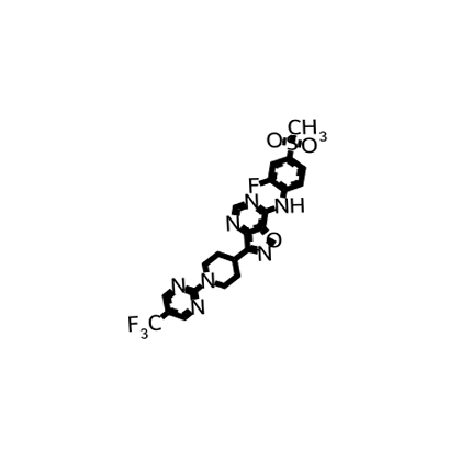 CS(=O)(=O)c1ccc(Nc2ncnc3c(C4CCN(c5ncc(C(F)(F)F)cn5)CC4)noc23)c(F)c1